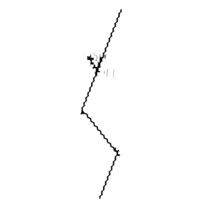 CCCCCCCCCCCCCCCCCCCCCCCCC(C(=O)OCC(O)CO)C(O)CCCCCCCCCCCCCCCC1CC1CCCCCCCCCCCCCCCCCCC(=O)C(C)CCCCCCCCCCCCCCCCCC